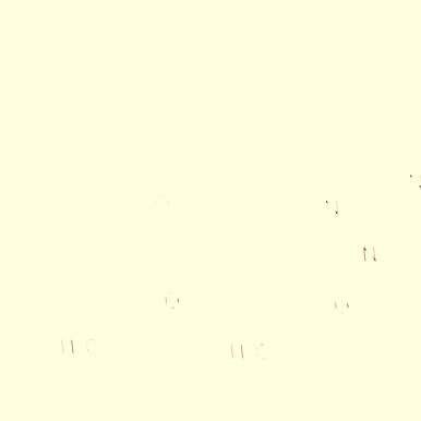 CCOC(=O)C(C(C)=O)C(c1ccccc1)n1cncn1